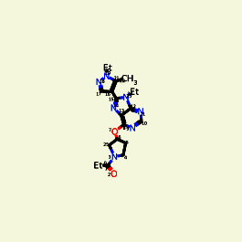 CCC(=O)N1CCC(Oc2ncnc3c2nc(-c2cnn(CC)c2C)n3CC)C1